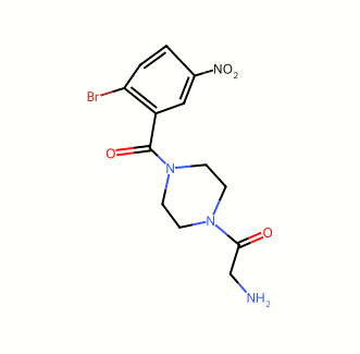 NCC(=O)N1CCN(C(=O)c2cc([N+](=O)[O-])ccc2Br)CC1